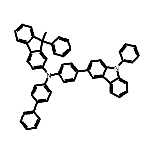 CC1(c2ccccc2)c2ccccc2-c2ccc(N(c3ccc(-c4ccccc4)cc3)c3ccc(-c4ccc5c(c4)c4ccccc4n5-c4ccccc4)cc3)cc21